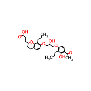 CCCc1c(OCC(O)COc2ccc3c(c2CCC)OC(CCC(=O)O)CC3)ccc(C(C)=O)c1O